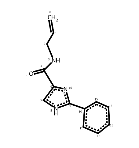 C=CCNC(=O)c1c[nH]c(-c2cc[c]cc2)n1